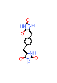 O=C1NC(=O)/C(=C/c2ccc(/C=C3/NC(=O)NC3=O)cc2)N1